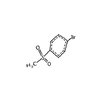 CS(=O)(=O)c1[c]cc(Br)cc1